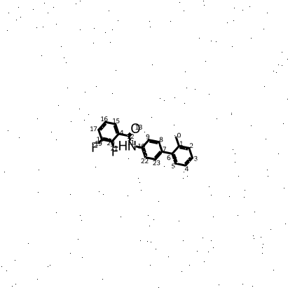 Cc1ccccc1-c1ccc(NC(=O)c2cccc(F)c2F)cc1